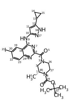 C[C@@H]1CN(C(=O)c2nc(Nc3cc(C4CC4)[nH]n3)c3cc(I)ccc3n2)CCN1C(=O)OC(C)(C)C